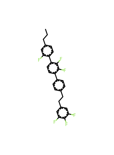 CCCc1ccc(-c2ccc(-c3ccc(CCc4cc(F)c(F)c(F)c4)cc3)c(F)c2F)c(F)c1